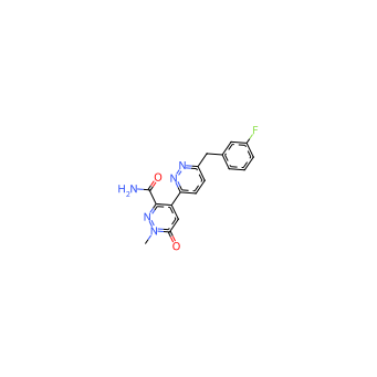 Cn1nc(C(N)=O)c(-c2ccc(Cc3cccc(F)c3)nn2)cc1=O